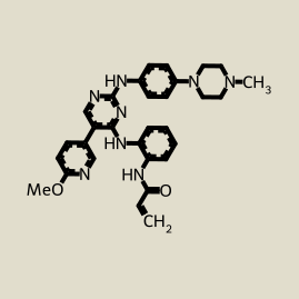 C=CC(=O)Nc1ccccc1Nc1nc(Nc2ccc(N3CCN(C)CC3)cc2)ncc1-c1ccc(OC)nc1